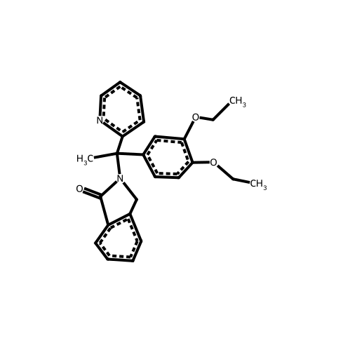 CCOc1ccc(C(C)(c2ccccn2)N2Cc3ccccc3C2=O)cc1OCC